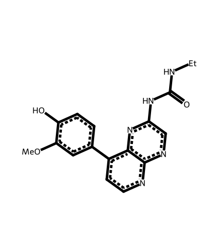 CCNC(=O)Nc1cnc2nccc(-c3ccc(O)c(OC)c3)c2n1